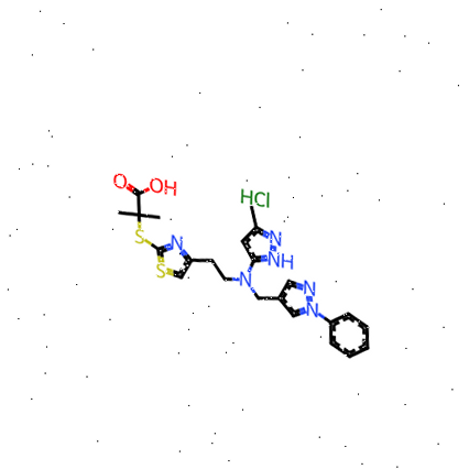 Cc1cc(N(CCc2csc(SC(C)(C)C(=O)O)n2)Cc2cnn(-c3ccccc3)c2)[nH]n1.Cl